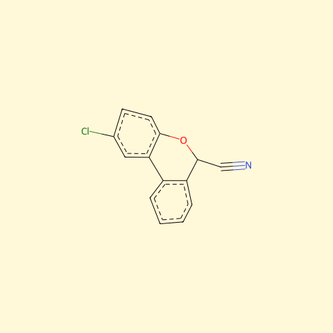 N#CC1Oc2ccc(Cl)cc2-c2ccccc21